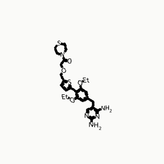 CCOc1cc(Cc2cnc(N)nc2N)cc(OCC)c1-c1ccc(COCC(=O)N2CCSCC2)s1